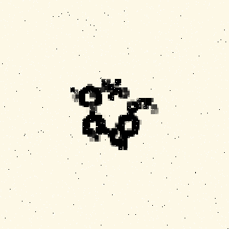 C[C@@H]1C[C@H](N=S(C)(C)=O)CN(c2ccnc(-c3cnc4ccc(OC(F)(F)F)cn34)n2)C1